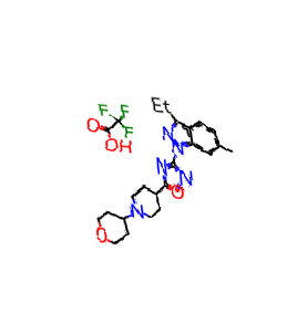 CCc1nn(-c2noc(C3CCN(C4CCOCC4)CC3)n2)c2cc(C)ccc12.O=C(O)C(F)(F)F